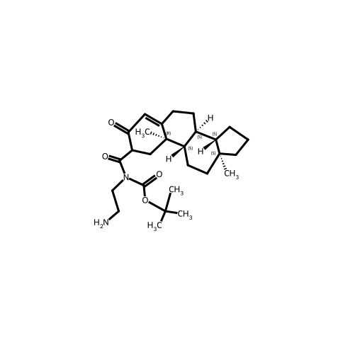 CC(C)(C)OC(=O)N(CCN)C(=O)C1C[C@@]2(C)C(=CC1=O)CC[C@H]1[C@@H]3CCC[C@@]3(C)CC[C@@H]12